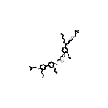 C=CC/C=C/C(=C\C=C\OCC1CO1)c1ccc(OCC(O)COc2ccc(-c3ccc(OCC4CO4)c(CC=C)c3)cc2CC=C)c(CC=C)c1